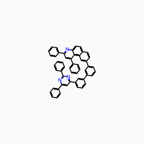 c1ccc(-c2cc(-c3cccc(-c4cccc(-c5ccc6ccc7nc(-c8ccccc8)cc(-c8ccccc8)c7c6c5)c4)c3)nc(-c3ccccc3)n2)cc1